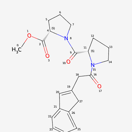 COC(=O)[C@@H]1CCCN1C(=O)[C@@H]1CCCN1C(=O)CC1=Cc2ccccc2C1